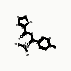 Cc1ccc(C(=O)CC(=O)c2cccs2)cc1.F[B]F